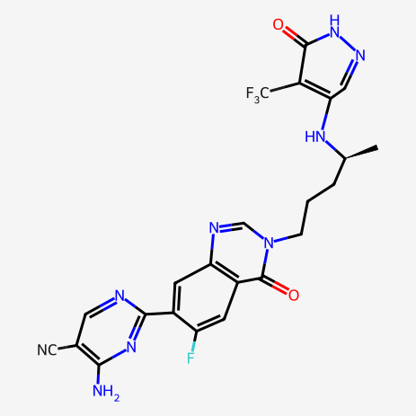 C[C@@H](CCCn1cnc2cc(-c3ncc(C#N)c(N)n3)c(F)cc2c1=O)Nc1cn[nH]c(=O)c1C(F)(F)F